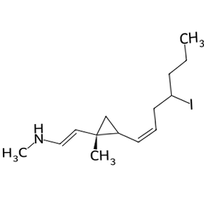 CCCC(I)C/C=C\C1C[C@@]1(C)/C=C/NC